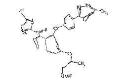 COCC(C)Oc1ccc(C(=O)Nc2ncc(F)s2)c(Oc2ccc(-c3nnc(C)o3)cc2)c1